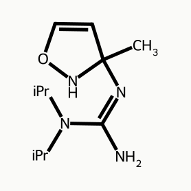 CC(C)N(C(N)=NC1(C)C=CON1)C(C)C